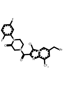 CC(C)Cc1cc(C(F)(F)F)c2nc(C(=O)N3CCN(c4cc(F)ccc4F)C(=O)C3)c(Cl)n2c1